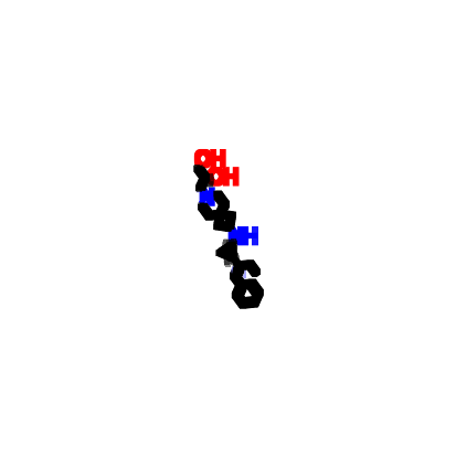 CC/C(=C\c1ccccc1)[C@H]1C[C@@H]1NC1CC2(CCN(C[C@H](O)CO)CC2)C1